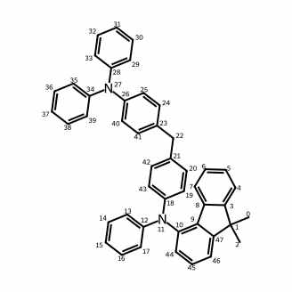 CC1(C)c2ccccc2-c2c(N(c3ccccc3)c3ccc(Cc4ccc(N(c5ccccc5)c5ccccc5)cc4)cc3)cccc21